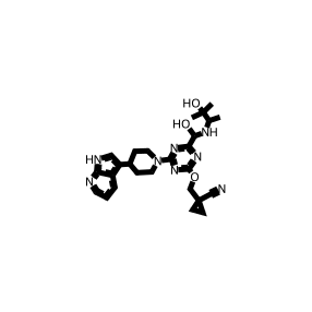 CC(NC(O)c1nc(OCC2(C#N)CC2)nc(N2CCC(c3c[nH]c4ncccc34)CC2)n1)C(C)(C)O